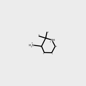 CC1(C)NCCCC1N